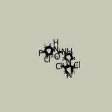 O=C(Nc1ccc(F)c(Cl)c1)N[C@H]1CCN(c2c(Cl)cncc2Cl)C1